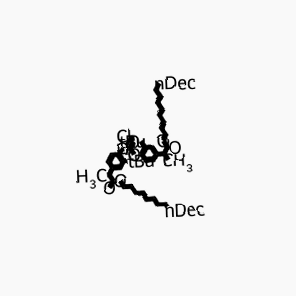 CCCCCCCCCCCCCCCCCCOC(=O)C(C)c1ccc(OP(OCl)Oc2ccc(C(C)C(=O)OCCCCCCCCCCCCCCCCCC)cc2C(C)(C)C)c(C(C)(C)C)c1